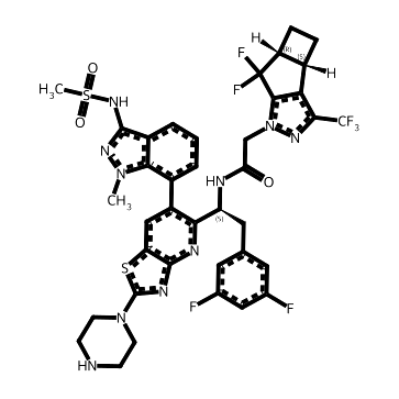 Cn1nc(NS(C)(=O)=O)c2cccc(-c3cc4sc(N5CCNCC5)nc4nc3[C@H](Cc3cc(F)cc(F)c3)NC(=O)Cn3nc(C(F)(F)F)c4c3C(F)(F)[C@@H]3CC[C@H]43)c21